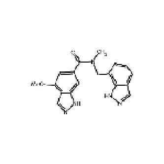 COc1cc(C(=O)N(C)Cc2cccc3cn[nH]c23)cc2[nH]ncc12